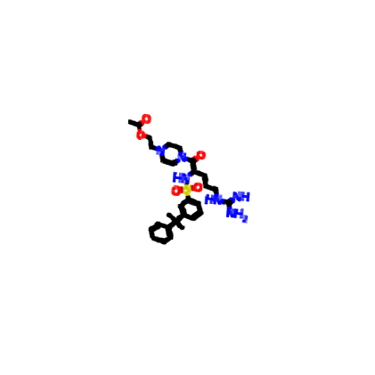 CC(=O)OCCN1CCN(C(=O)C(CCCNC(=N)N)NS(=O)(=O)c2cccc(C(C)(C)c3ccccc3)c2)CC1